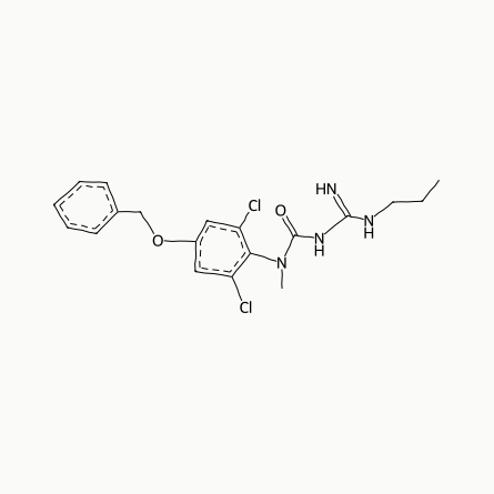 CCCNC(=N)NC(=O)N(C)c1c(Cl)cc(OCc2ccccc2)cc1Cl